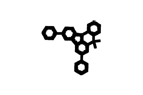 CC1(C)c2ccncc2-n2c3ccc(-c4ccccc4)cc3c3cc(-c4ccccc4)cc1c32